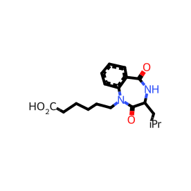 CC(C)CC1NC(=O)c2ccccc2N(CCCCCC(=O)O)C1=O